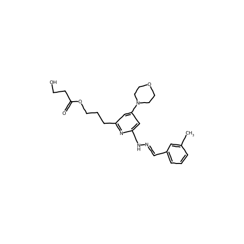 Cc1cccc(C=NNc2cc(N3CCOCC3)cc(CCCOC(=O)CCO)n2)c1